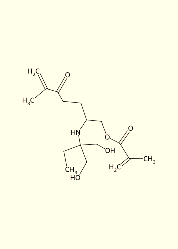 C=C(C)C(=O)CCC(COC(=O)C(=C)C)NC(CC)(CO)CO